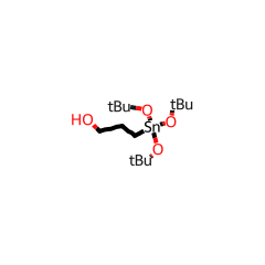 CC(C)(C)[O][Sn]([CH2]CCO)([O]C(C)(C)C)[O]C(C)(C)C